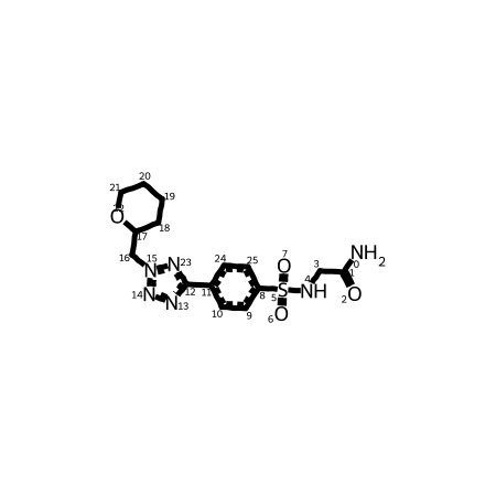 NC(=O)CNS(=O)(=O)c1ccc(-c2nnn(CC3CCCCO3)n2)cc1